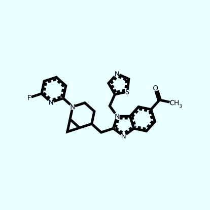 CC(=O)c1ccc2nc(CC3CCN(c4cccc(F)n4)C4CC34)n(Cc3cncs3)c2c1